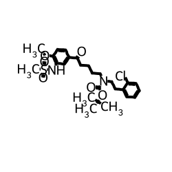 COc1ccc(C(=O)CCCCN(CCc2ccccc2Cl)C(=O)OC(C)(C)C)cc1NS(C)(=O)=O